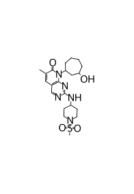 Cc1cc2cnc(NC3CCN(S(C)(=O)=O)CC3)nc2n(C2CCCCC(O)C2)c1=O